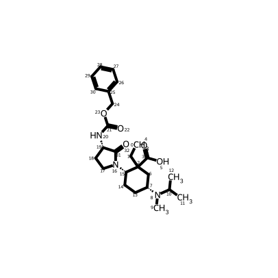 CCC1(C(=O)O)C[C@H](N(C)C(C)C)CC[C@@H]1N1CC[C@H](NC(=O)OCc2ccccc2)C1=O